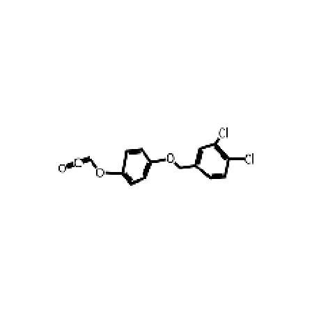 O=C=COc1ccc(OCc2ccc(Cl)c(Cl)c2)cc1